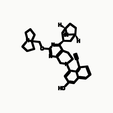 C#Cc1cccc2cc(O)cc(N3CCc4c(nc(OCC56CCCN5CCC6)nc4[C@H]4C[C@H]5CC[C@@H](C4)N5)C3)c12